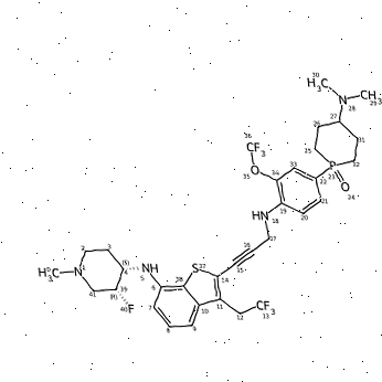 CN1CC[C@H](Nc2cccc3c(CC(F)(F)F)c(C#CCNc4ccc(P5(=O)CCC(N(C)C)CC5)cc4OC(F)(F)F)sc23)[C@H](F)C1